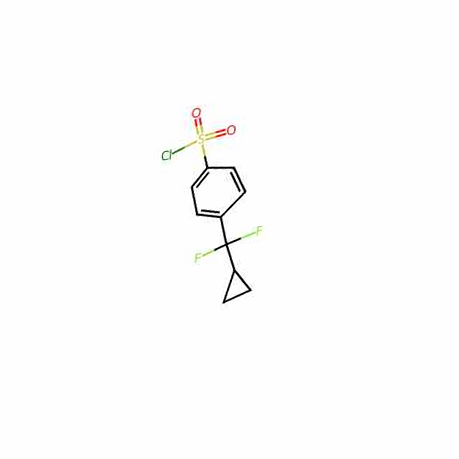 O=S(=O)(Cl)c1ccc(C(F)(F)C2CC2)cc1